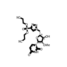 CO[C@@H]1[C@H](O)[C@@H](Cn2cc(P(=O)(OCCC#N)OCCC#N)nn2)O[C@H]1n1ccc(=O)[nH]c1=O